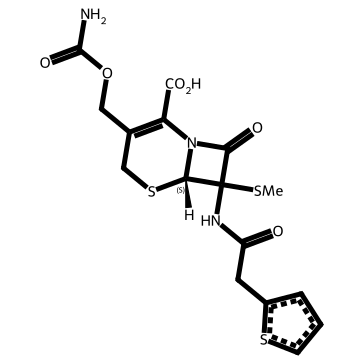 CSC1(NC(=O)Cc2cccs2)C(=O)N2C(C(=O)O)=C(COC(N)=O)CS[C@H]21